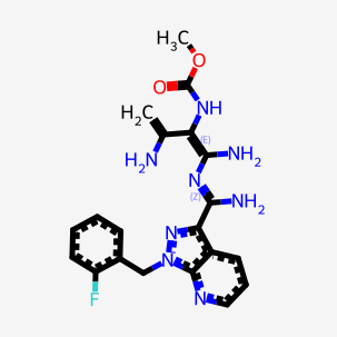 C=C(N)/C(NC(=O)OC)=C(N)\N=C(/N)c1nn(Cc2ccccc2F)c2ncccc12